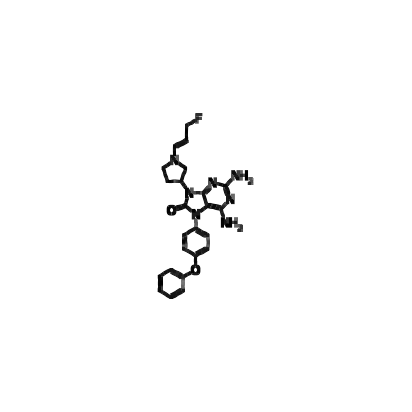 Nc1nc(N)c2c(n1)n(C1CCN(C=CCF)C1)c(=O)n2-c1ccc(Oc2ccccc2)cc1